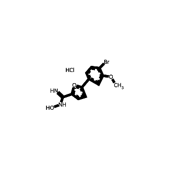 COc1cc(-c2ccc(C(=N)NO)o2)ccc1Br.Cl